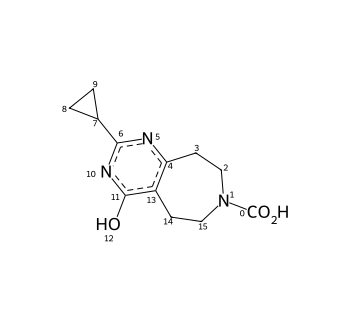 O=C(O)N1CCc2nc(C3CC3)nc(O)c2CC1